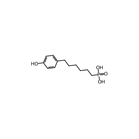 O=P(O)(O)CCCCCCc1ccc(O)cc1